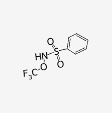 O=S(=O)(NOC(F)(F)F)c1ccccc1